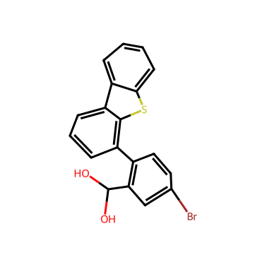 OC(O)c1cc(Br)ccc1-c1cccc2c1sc1ccccc12